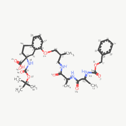 CC(CNC(=O)C(C)NC(=O)C(C)NC(=O)OCc1ccccc1)COc1cccc2c1C[C@](NC(=O)OC(C)(C)C)(C(=O)O)CC2